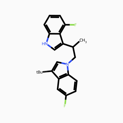 CC(Cn1cc(C(C)(C)C)c2cc(F)ccc21)c1c[nH]c2cccc(F)c12